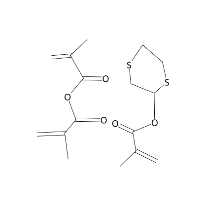 C=C(C)C(=O)OC(=O)C(=C)C.C=C(C)C(=O)OC1CSCCS1